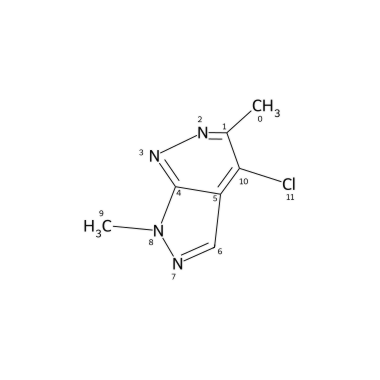 Cc1nnc2c(cnn2C)c1Cl